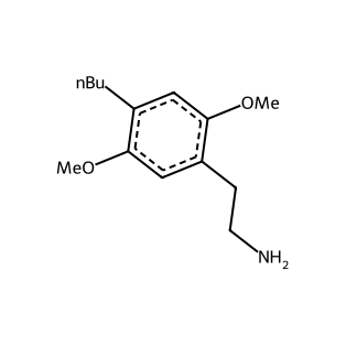 CCCCc1cc(OC)c(CCN)cc1OC